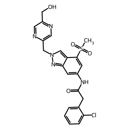 CS(=O)(=O)c1cc(NC(=O)Cc2ccccc2Cl)cc2nn(Cc3cnc(CO)cn3)cc12